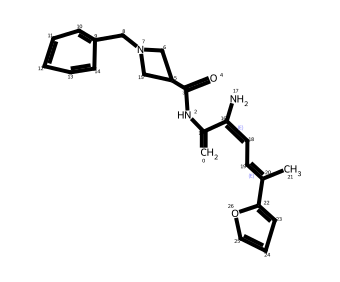 C=C(NC(=O)C1CN(Cc2ccccc2)C1)/C(N)=C\C=C(/C)c1ccco1